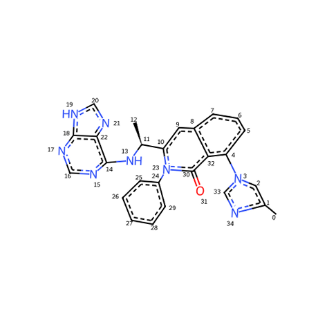 Cc1cn(-c2cccc3cc([C@H](C)Nc4ncnc5[nH]cnc45)n(-c4ccccc4)c(=O)c23)cn1